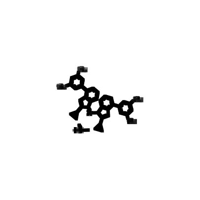 CC(C)(C)c1cc(-c2cccc3c2C=C(C2CC2)[CH]3[Zr][CH]2C(C3CC3)=Cc3c(-c4cc(C(C)(C)C)cc(C(C)(C)C)c4)cccc32)cc(C(C)(C)C)c1.C[SiH]C